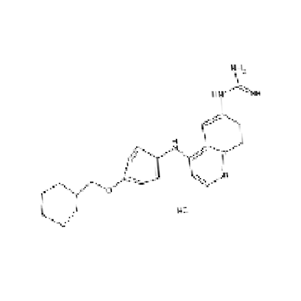 Cl.N=C(N)Nc1ccc2nccc(Nc3ccc(OCC4CCCCC4)cc3)c2c1